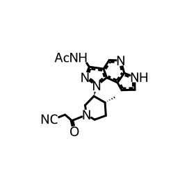 CC(=O)Nc1nn([C@H]2CN(C(=O)CC#N)CC[C@H]2C)c2c1cnc1[nH]ccc12